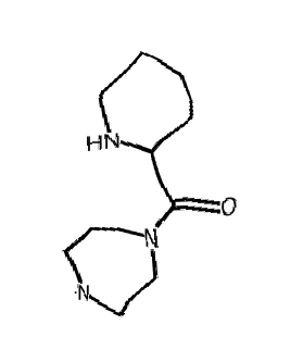 O=C(C1CCCCN1)N1CC[N]CC1